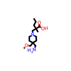 CCCC(C)(CN1CCC(CN)(COC)CC1)C(=O)O